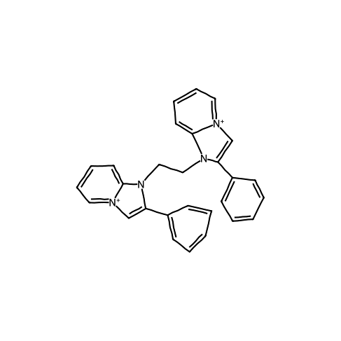 c1ccc(-c2c[n+]3ccccc3n2CCn2c(-c3ccccc3)c[n+]3ccccc23)cc1